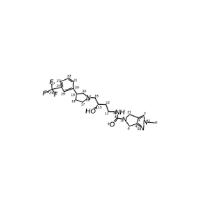 Cn1cc2c(n1)CN(C(=O)NCC[C@@H](O)CN1CCC(c3cccc(C(F)(F)F)c3)C1)C2